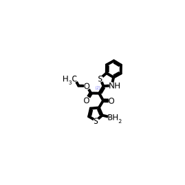 Bc1sccc1C(=O)/C(C(=O)OCC)=C1\Nc2ccccc2S1